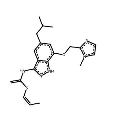 C=C(Nc1n[nH]c2c(OCc3nccn3C)cc(CC(C)C)cc12)S/C=C\C